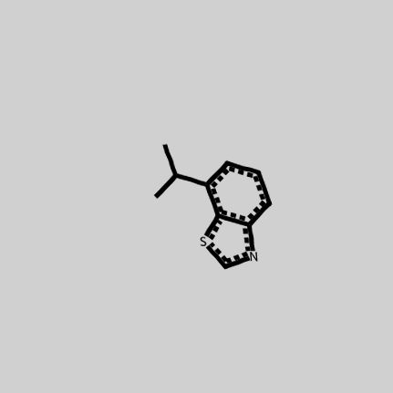 CC(C)c1cccc2ncsc12